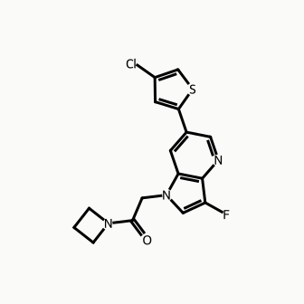 O=C(Cn1cc(F)c2ncc(-c3cc(Cl)cs3)cc21)N1CCC1